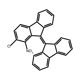 O=[N+]([O-])c1c(Cl)ccc2c1C(=C1c3ccccc3-c3ccccc31)c1ccccc1-2